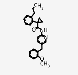 CCCc1ccccc1C1(C(=O)Nc2ccc(Cc3ccccc3OC)cn2)CC1